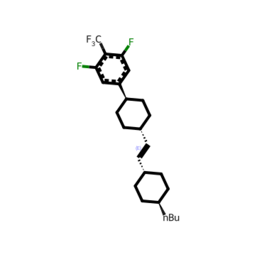 CCCC[C@H]1CC[C@H](/C=C/[C@H]2CC[C@H](c3cc(F)c(C(F)(F)F)c(F)c3)CC2)CC1